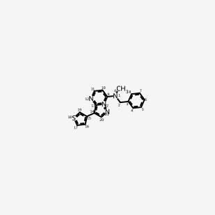 CN(Cc1ccccc1)c1ccnc2c(-c3ccsc3)cnn12